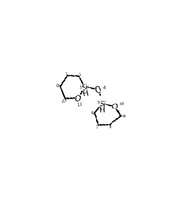 C1CC[SiH](O[SiH]2CCCCO2)OC1